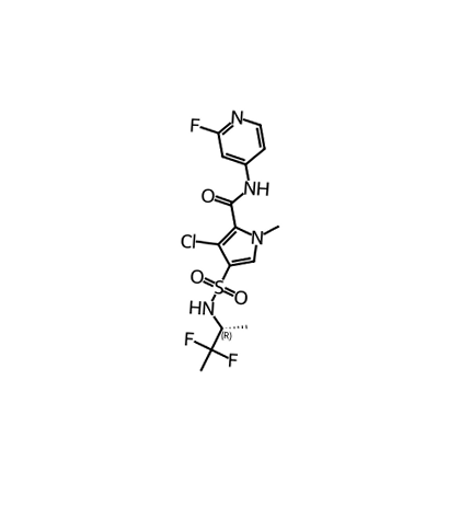 C[C@@H](NS(=O)(=O)c1cn(C)c(C(=O)Nc2ccnc(F)c2)c1Cl)C(C)(F)F